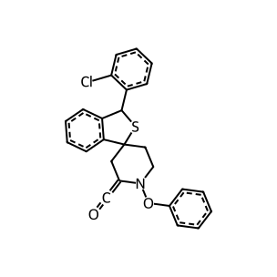 O=C=C1CC2(CCN1Oc1ccccc1)SC(c1ccccc1Cl)c1ccccc12